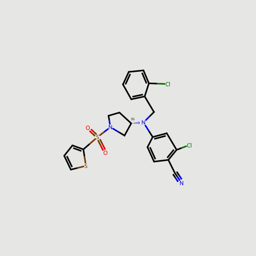 N#Cc1ccc(N(Cc2ccccc2Cl)[C@H]2CCN(S(=O)(=O)c3cccs3)C2)cc1Cl